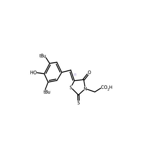 CC(C)(C)c1cc(/C=C2\SC(=S)N(CC(=O)O)C2=O)cc(C(C)(C)C)c1O